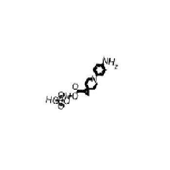 Nc1ccc(N2CCC3(CC2)CC3C(=O)OCOP(=O)(O)O)cc1